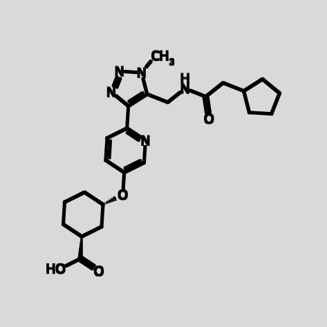 Cn1nnc(-c2ccc(O[C@H]3CCC[C@H](C(=O)O)C3)cn2)c1CNC(=O)CC1CCCC1